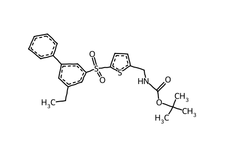 CCc1cc(-c2ccccc2)cc(S(=O)(=O)c2ccc(CNC(=O)OC(C)(C)C)s2)c1